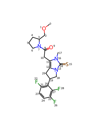 COCC1CCCN1C(=O)Cc1c2n(c(=S)n1C)CC(c1c(F)ccc(F)c1F)C2